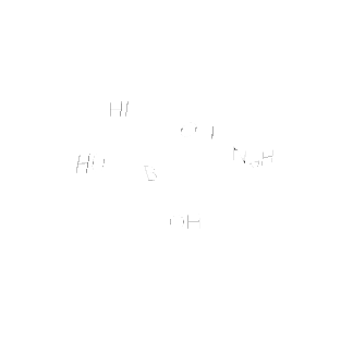 F.OB(O)O.[NaH]